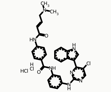 CN(C)C/C=C/C(=O)Nc1ccc(C(=O)Nc2cccc(Nc3ncc(Cl)c(-c4c[nH]c5ccccc45)n3)c2)cc1.Cl.Cl